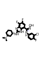 CN(C)[C@@H]1CCC[C@H](Nc2nc3c(F)c(F)cc(/C(=N\O)Nc4ccc(F)c(Cl)c4)c3[nH]2)C1